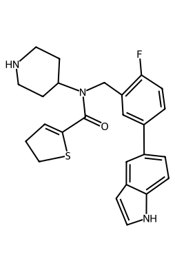 O=C(C1=CCCS1)N(Cc1cc(-c2ccc3[nH]ccc3c2)ccc1F)C1CCNCC1